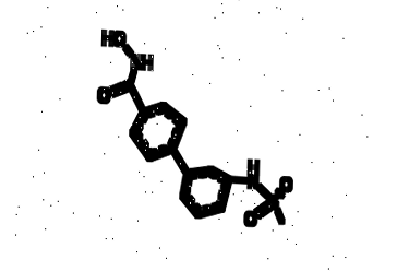 CS(=O)(=O)Nc1cccc(-c2ccc(C(=O)NO)cc2)c1